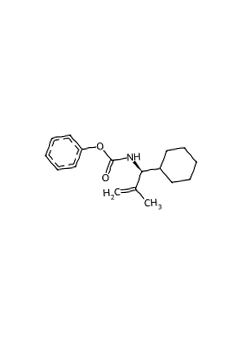 C=C(C)[C@@H](NC(=O)Oc1ccccc1)C1CCCCC1